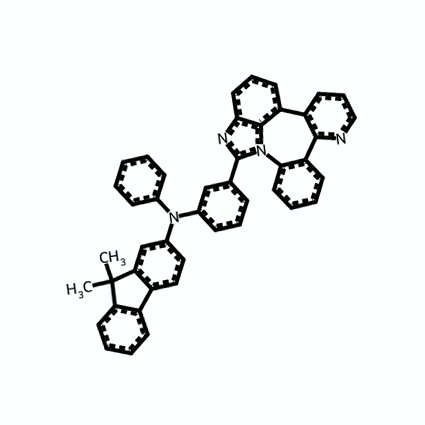 CC1(C)c2ccccc2-c2ccc(N(c3ccccc3)c3cccc(-c4nc5cccc6c5n4-c4ccccc4-c4ncccc4-6)c3)cc21